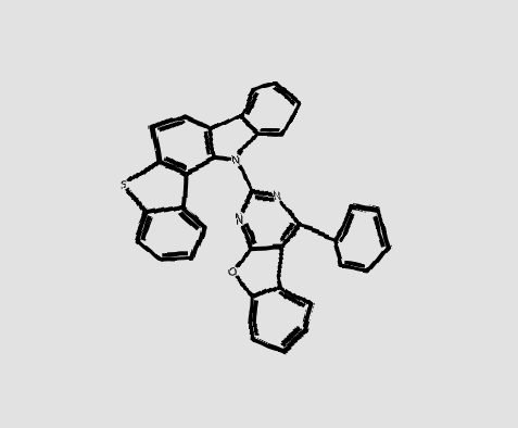 c1ccc(-c2nc(-n3c4ccccc4c4ccc5sc6ccccc6c5c43)nc3oc4ccccc4c23)cc1